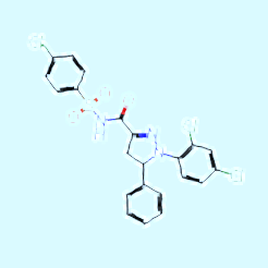 O=C(NS(=O)(=O)c1ccc(Cl)cc1)C1=NN(c2ccc(Cl)cc2Cl)C(c2ccccc2)C1